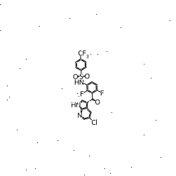 O=C(c1c(F)ccc(NS(=O)(=O)c2ccc(C(F)(F)F)cc2)c1F)c1c[nH]c2ncc(Cl)cc12